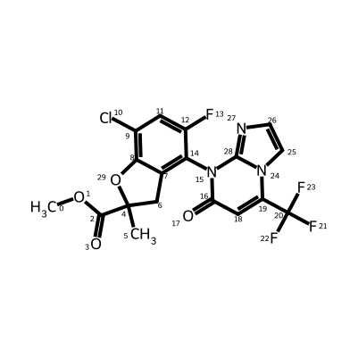 COC(=O)C1(C)Cc2c(c(Cl)cc(F)c2-n2c(=O)cc(C(F)(F)F)n3ccnc23)O1